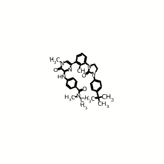 Cc1c(-c2cn(C)c(=O)c(Nc3ccc(C(=O)N(C)C)cc3)n2)cccc1N1CCN(c2ccc(C(C)(C)C)cc2)C1=O